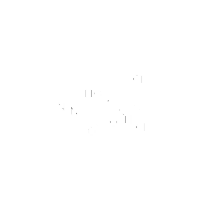 CC1=C2[C@@H]3OC(=O)C(Cn4cccn4)C3(O)CC[C@@]2(C)CCC1